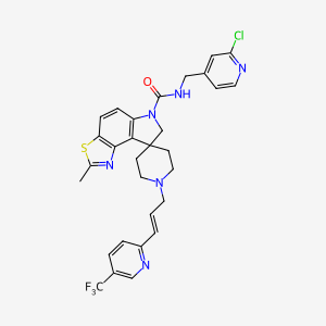 Cc1nc2c3c(ccc2s1)N(C(=O)NCc1ccnc(Cl)c1)CC31CCN(CC=Cc2ccc(C(F)(F)F)cn2)CC1